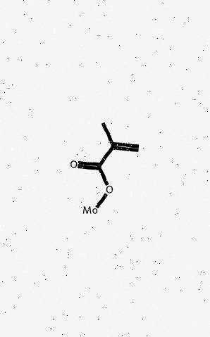 C=C(C)C(=O)[O][Mo]